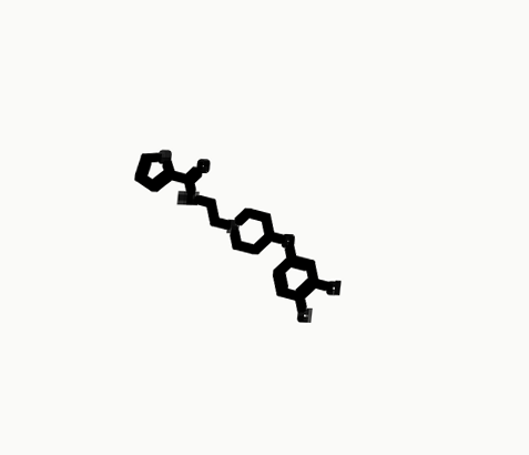 O=C(NCCN1CCC(Oc2ccc(Cl)c(Cl)c2)CC1)c1ccco1